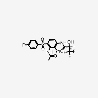 CC(=O)Nc1c(S(=O)(=O)c2ccc(F)cc2)ccc(NC(=O)[C@@](C)(O)C(F)(F)F)c1Cl